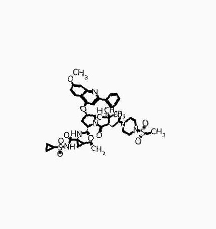 C=CC1C[C@]1(NC(=O)[C@@H]1C[C@@H](Oc2cc(-c3ccccc3)nc3cc(OC)ccc23)CN1C(=O)[C@@H](CC(=O)N1CCN(S(=O)(=O)CC)CC1)C(C)(C)C)C(=O)NS(=O)(=O)C1CC1